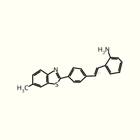 Cc1ccc2nc(-c3ccc(/C=C/c4ccccc4N)cc3)sc2c1